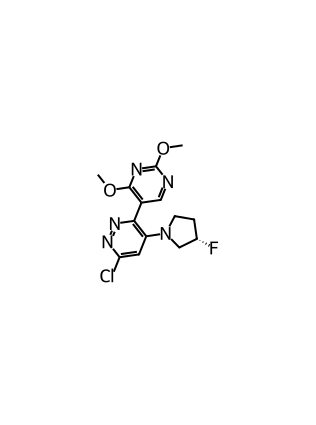 COc1ncc(-c2nnc(Cl)cc2N2CC[C@H](F)C2)c(OC)n1